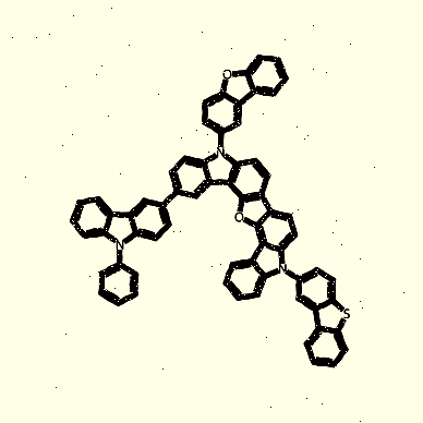 c1ccc(-n2c3ccccc3c3cc(-c4ccc5c(c4)c4c6oc7c(ccc8c7c7ccccc7n8-c7ccc8sc9ccccc9c8c7)c6ccc4n5-c4ccc5oc6ccccc6c5c4)ccc32)cc1